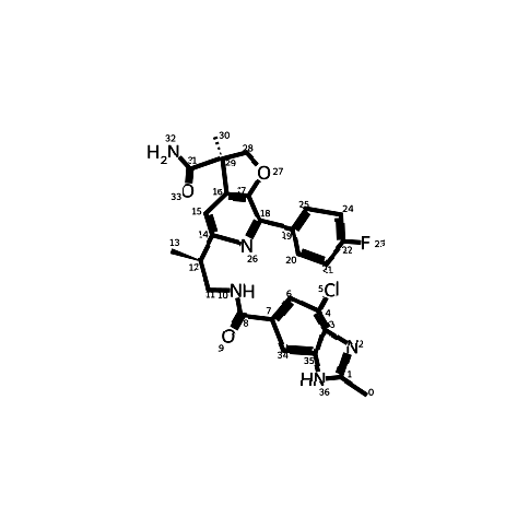 Cc1nc2c(Cl)cc(C(=O)NC[C@@H](C)c3cc4c(c(-c5ccc(F)cc5)n3)OC[C@]4(C)C(N)=O)cc2[nH]1